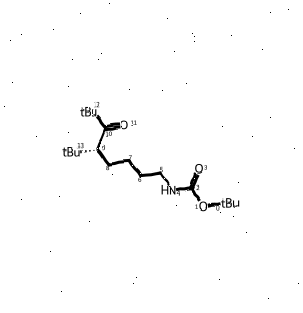 CC(C)(C)OC(=O)NCCCC[C@@H](C(=O)C(C)(C)C)C(C)(C)C